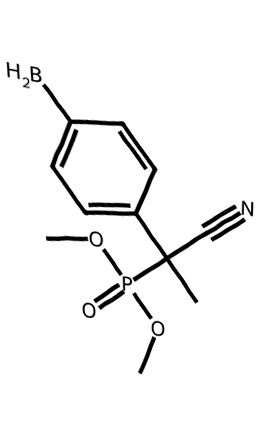 Bc1ccc(C(C)(C#N)P(=O)(OC)OC)cc1